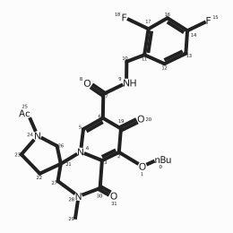 CCCCOc1c2n(cc(C(=O)NCc3ccc(F)cc3F)c1=O)C1(CCN(C(C)=O)C1)CN(C)C2=O